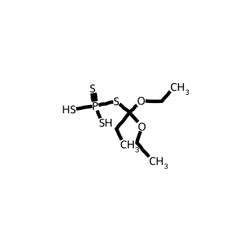 CCOC(CC)(OCC)SP(=S)(S)S